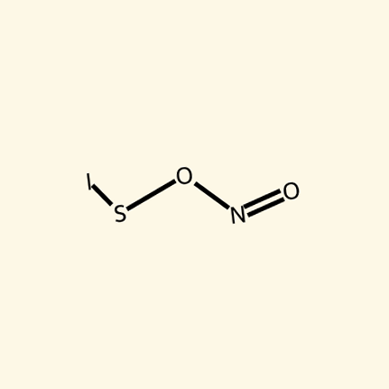 O=NOSI